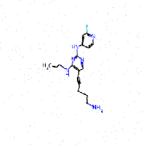 CCCNc1nc(Nc2ccnc(F)c2)ncc1C#CCCCN